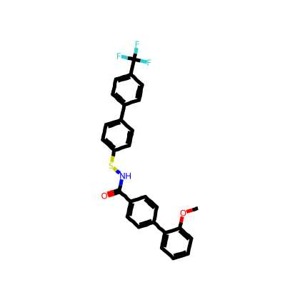 COc1ccccc1-c1ccc(C(=O)NSc2ccc(-c3ccc(C(F)(F)F)cc3)cc2)cc1